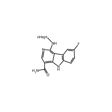 CCCCCCCNc1ncc(C(N)=O)c2[nH]c3ccc(F)cc3c12